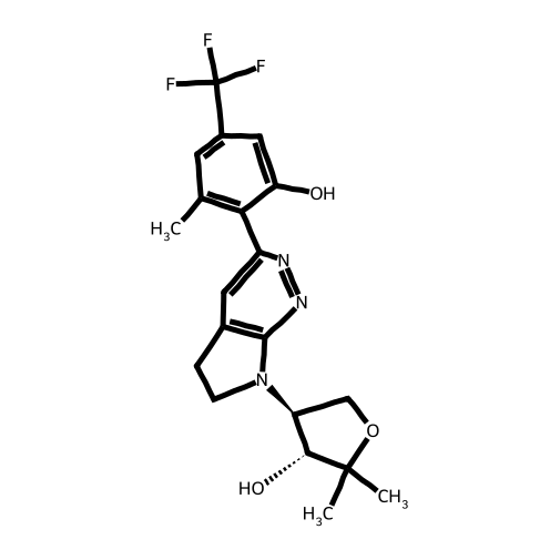 Cc1cc(C(F)(F)F)cc(O)c1-c1cc2c(nn1)N([C@H]1COC(C)(C)[C@@H]1O)CC2